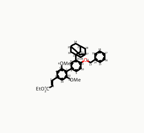 CCOC(=O)/C=C/c1cc(OC)c(-c2ccc(OCc3ccccc3)c(C34CC5CC(CC(C5)C3)C4)c2)c(OC)c1